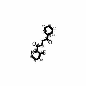 O=C(CCC(=O)c1ncccc1F)c1ccccn1